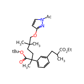 CCOC(=O)C(C)Cc1cccc(C(C)(CCC(C)(C)COc2ccn(C(C)=O)n2)C(=O)OC(C)(C)C)c1